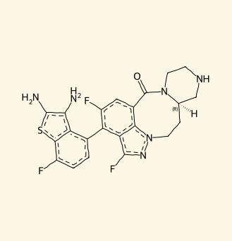 Nc1sc2c(F)ccc(-c3c(F)cc4c5c3c(F)nn5CC[C@@H]3CNCCN3C4=O)c2c1N